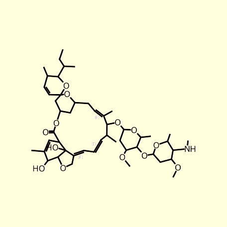 CCC(C)C1OC2(C=CC1C)CC1CC(C/C=C(\C)C(OC3CC(OC)C(OC4CC(OC)C(NC)C(C)O4)C(C)O3)C(C)/C=C/C=C3\COC4C(O)C(C)=CC(C(=O)O1)C34O)O2